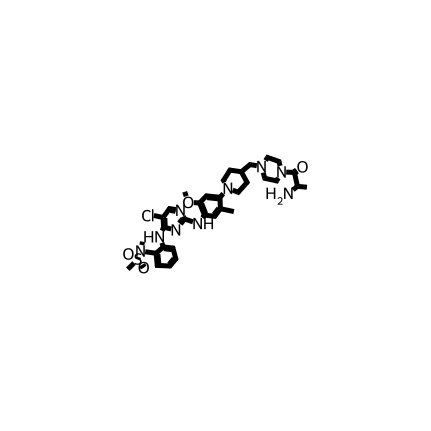 COc1cc(N2CCC(CN3CCN(C(=O)C(C)N)CC3)CC2)c(C)cc1Nc1ncc(Cl)c(Nc2ccccc2N(C)S(C)(=O)=O)n1